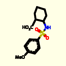 COc1ccc(S(=O)(=O)NC2CCCCC2C(=O)O)cc1